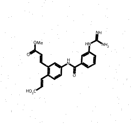 COC(=O)C=Cc1cc(NC(=O)c2cccc(NC(=N)N)c2)ccc1C=CC(=O)O